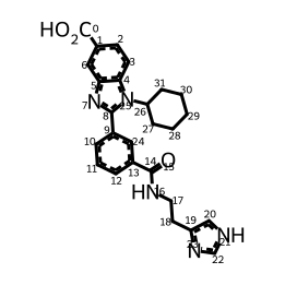 O=C(O)c1ccc2c(c1)nc(-c1cccc(C(=O)NCCc3c[nH]cn3)c1)n2C1CCCCC1